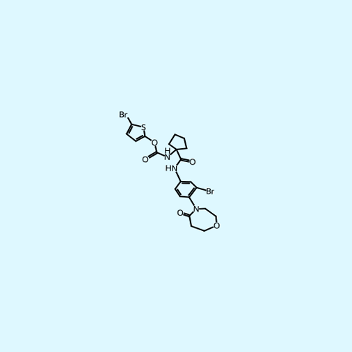 O=C(NC1(C(=O)Nc2ccc(N3CCOCCC3=O)c(Br)c2)CCCC1)Oc1ccc(Br)s1